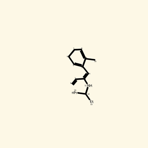 C=C/C(=C\C1=CCCC=C1C)NC(CC)CCC